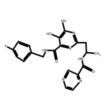 CC(Cc1nc(O)c(O)c(C(=O)NCc2ccc(F)cc2)n1)NC(=O)c1cnccn1